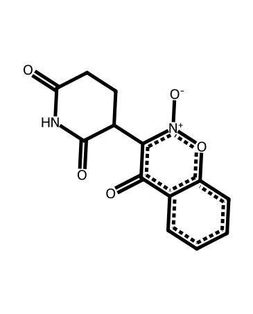 O=C1CCC(c2c(=O)c3ccccc3o[n+]2[O-])C(=O)N1